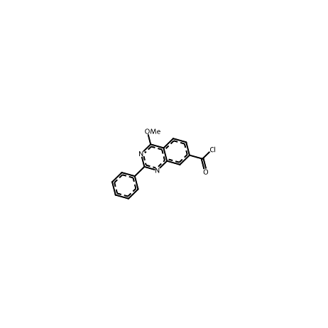 COc1nc(-c2ccccc2)nc2cc(C(=O)Cl)ccc12